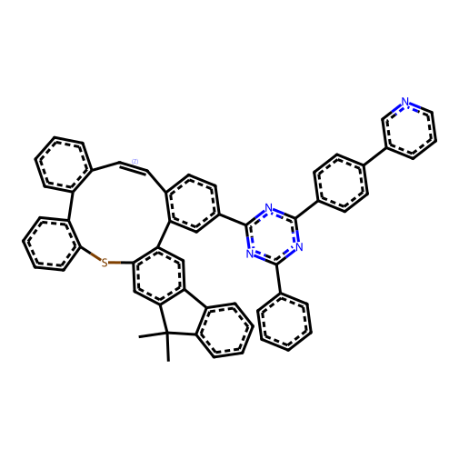 CC1(C)c2ccccc2-c2cc3c(cc21)Sc1ccccc1-c1ccccc1/C=C\c1ccc(-c2nc(-c4ccccc4)nc(-c4ccc(-c5cccnc5)cc4)n2)cc1-3